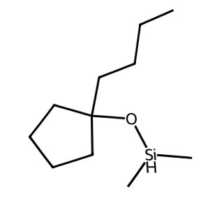 CCCCC1(O[SiH](C)C)CCCC1